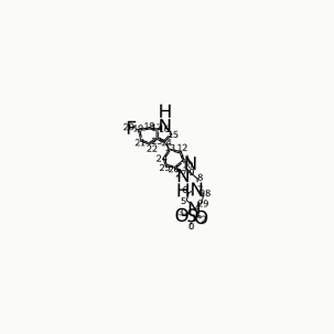 CS(=O)(=O)N1CCN(Cc2nc3cc(-c4c[nH]c5cc(F)ccc45)ccc3[nH]2)CC1